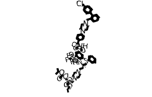 CCOP(=O)(CN1CCN(CC[C@H](CSc2ccccc2)Nc2ccc(S(=O)(=O)NC(=O)c3ccc(N4CCN(Cc5ccccc5-c5ccc(Cl)cc5)CC4)cc3)cc2S(=O)(=O)C(F)(F)F)CC1)OCOC(=O)OC(C)C